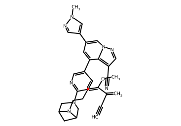 C#CC(=C)/C(=C\CCN1C2CC1CN(c1ccc(-c3cc(-c4cnn(C)c4)cn4ncc(C#N)c34)cn1)C2)OC